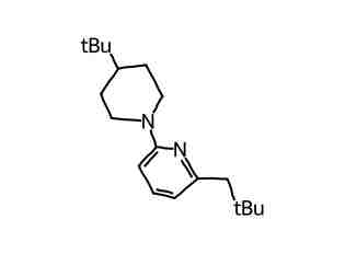 CC(C)(C)Cc1cccc(N2CCC(C(C)(C)C)CC2)n1